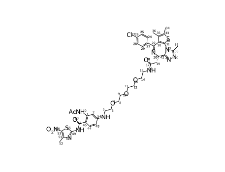 CC(=O)Nc1cc(NCCOCCOCCOCCNC(=O)C[C@@H]2N=C(c3ccc(Cl)cc3)c3c(sc(C)c3C)-n3c(C)nnc32)ccc1C(=O)Nc1nc(C)c([N+](=O)[O-])s1